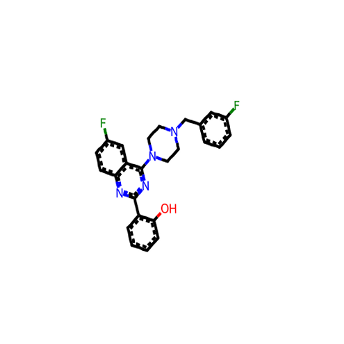 Oc1ccccc1-c1nc(N2CCN(Cc3cccc(F)c3)CC2)c2cc(F)ccc2n1